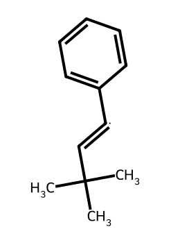 CC(C)(C)C=[C]c1ccccc1